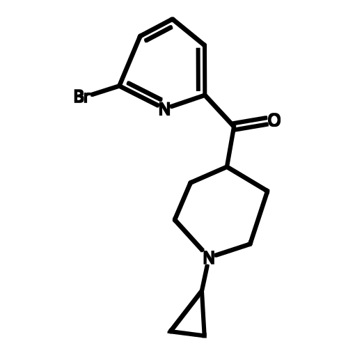 O=C(c1cccc(Br)n1)C1CCN(C2CC2)CC1